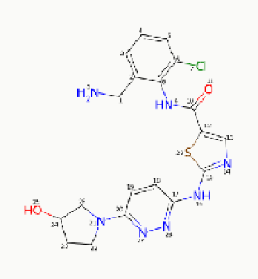 NCc1cccc(Cl)c1NC(=O)c1cnc(Nc2ccc(N3CCC(O)C3)nn2)s1